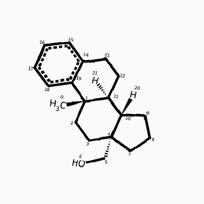 C[C@]12CC[C@]3(CO)CCC[C@H]3[C@@H]1CCc1ccccc12